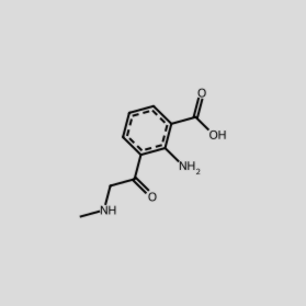 CNCC(=O)c1cccc(C(=O)O)c1N